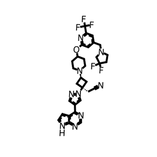 N#CC[C@]1(n2cc(-c3ncnc4[nH]ccc34)cn2)C[C@@H](N2CCC(Oc3cc(CN4CCC(F)(F)C4)cc(C(F)(F)F)n3)CC2)C1